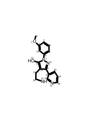 COc1cccc(-n2nc3c(c2O)CCNc2ncccc2-3)c1